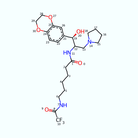 O=C(CCCCCNC(=O)C(F)(F)F)NC(CN1CCCC1)[C@H](O)c1ccc2c(c1)OCCO2